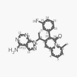 Cc1cccc2cc(C(C)n3ncc4c(N)ncnc43)c(-c3cccc(F)c3)c(=O)n12